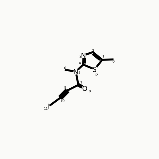 Cc1cnc(N(C)C(=O)C#CI)s1